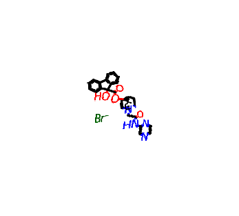 O=C(C[N+]12CCC(CC1)C(OC(=O)C1(O)c3ccccc3-c3ccccc31)C2)Nc1cnccn1.[Br-]